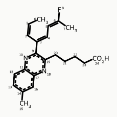 C\C=C/C(=C\C=C(/C)F)c1nc2ccc(C)cc2nc1CCCCC(=O)O